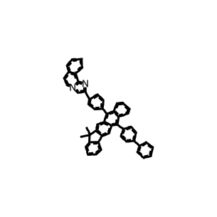 CC1(C)c2ccccc2-c2cc3c(-c4ccc(-c5ccccc5)cc4)c4ccccc4c(-c4ccc(-c5cn6ccc7ccccc7c6n5)cc4)c3cc21